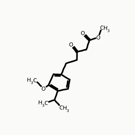 COC(=O)CC(=O)CCc1ccc(C(C)C)c(OC)c1